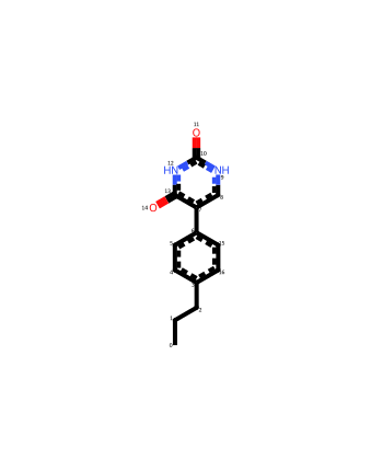 CCCc1ccc(-c2c[nH]c(=O)[nH]c2=O)cc1